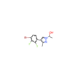 Cc1nn(C(C)O)cc1-c1ccc(Br)c(F)c1F